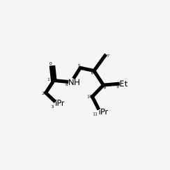 C=C(CC(C)C)NCC(C)C(CC)CC(C)C